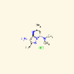 Cc1cc(N(C)C)n2nc(C)c(N)c2n1.Cl